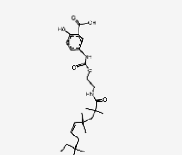 CCC(C)(CC)C/C=C\C(C)(C)CC(C)(C)C(=O)NCCOC(=O)Nc1ccc(O)c(C(=O)O)c1